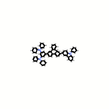 c1ccc(N(c2ccccc2)c2cc(-c3ccc4c5ccc(-c6ccc7c(c6)c6ccccc6n7-c6ccccc6)cc5c5ccccc5c4c3)cc(N(c3ccccc3)c3ccccc3)c2)cc1